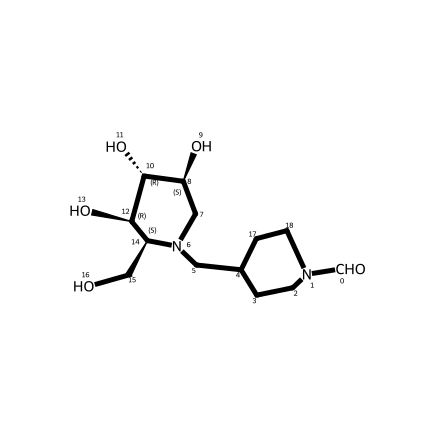 O=CN1CCC(CN2C[C@H](O)[C@@H](O)[C@H](O)[C@@H]2CO)CC1